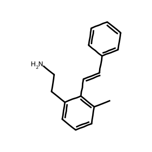 Cc1cccc(CCN)c1C=Cc1ccccc1